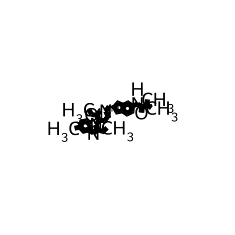 CCc1nc2cc(C)ccc2n1C1CCN(C[C@@H]2Cc3ccc(NC(=O)C(C)C)cc3C2)CC1OC